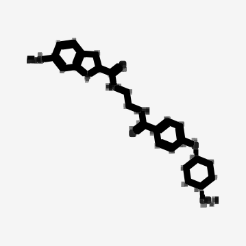 COc1ccc2c(c1)SC(C(=O)NCCNC(=O)c1ccc(O[C@H]3CC[C@@H](C(=O)O)CC3)cc1)C2